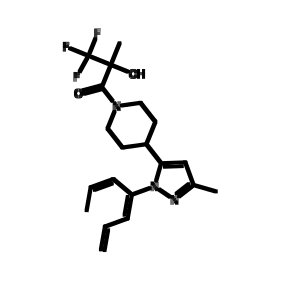 C=C/C=C(\C=C/C)n1nc(C)cc1C1CCN(C(=O)C(C)(O)C(F)(F)F)CC1